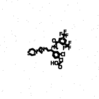 CC(=O)O.CN(C[C@@H](CCN1CC(N2CCSCC2)C1)c1ccc(Cl)c(Cl)c1)C(=O)c1cc(C(F)(F)F)cc(C(F)(F)F)c1